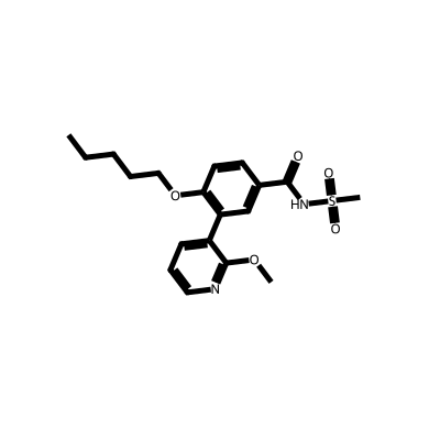 CCCCCOc1ccc(C(=O)NS(C)(=O)=O)cc1-c1cccnc1OC